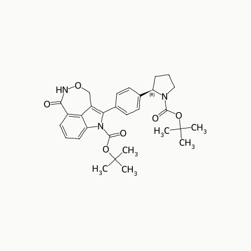 CC(C)(C)OC(=O)N1CCC[C@@H]1c1ccc(-c2c3c4c(cccc4n2C(=O)OC(C)(C)C)C(=O)NOC3)cc1